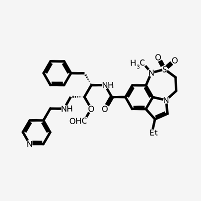 CCc1cn2c3c(cc(C(=O)N[C@@H](Cc4ccccc4)[C@@H](CNCc4ccncc4)OC=O)cc13)N(C)S(=O)(=O)CC2